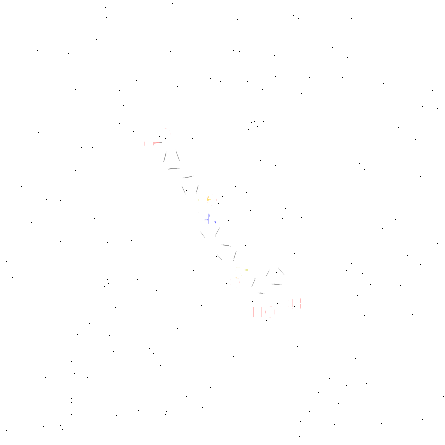 COC(=O)c1ccc(-c2ccc([S+]([O-])Cc3ccc(-c4ccc([S+]([O-])Cc5ccc(C(O)O)c6ccccc56)cc4)cn3)cc2)cc1